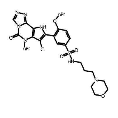 CCCOc1ccc(S(=O)(=O)NCCCN2CCOCC2)cc1-c1[nH]c2c(c1Cl)n(CCC)c(=O)n1cnnc21